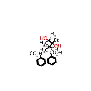 CCC(C)(C)C(O)(CC)C(C)(C)O.O=C(O)c1ccccc1.O=C(O)c1ccccc1